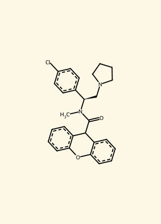 CN(C(=O)C1c2ccccc2Oc2ccccc21)[C@H](CN1CCCC1)c1ccc(Cl)cc1